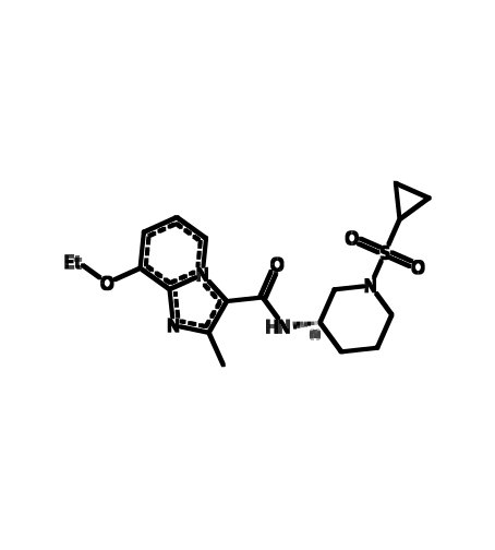 CCOc1cccn2c(C(=O)N[C@H]3CCCN(S(=O)(=O)C4CC4)C3)c(C)nc12